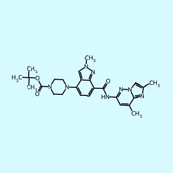 Cc1cn2nc(NC(=O)c3ccc(N4CCN(C(=O)OC(C)(C)C)CC4)c4cn(C)nc34)cc(C)c2n1